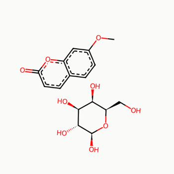 COc1ccc2ccc(=O)oc2c1.OC[C@H]1O[C@@H](O)[C@H](O)[C@@H](O)[C@H]1O